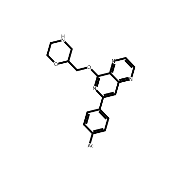 CC(=O)c1ccc(-c2cc3nccnc3c(OCC3CNCCO3)n2)cc1